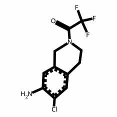 Nc1cc2c(cc1Cl)CCN(C(=O)C(F)(F)F)C2